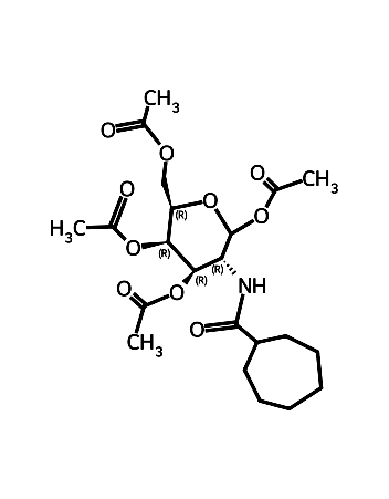 CC(=O)OC[C@H]1OC(OC(C)=O)[C@H](NC(=O)C2CCCCCC2)[C@@H](OC(C)=O)[C@H]1OC(C)=O